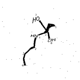 [CH2]CCNC(C)(O)O